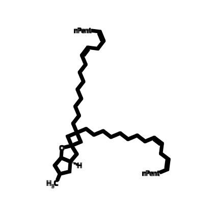 CCCCC/C=C\C/C=C\CCCCCCCCC1(CCCCCCCC/C=C\C/C=C\CCCCC)CC2(C[C@H]3CC(C)CC3O2)C1